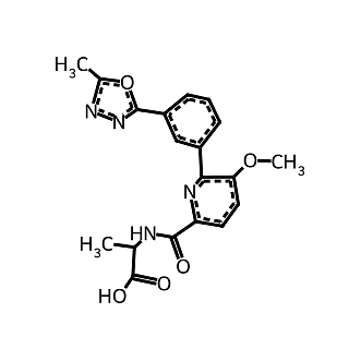 COc1ccc(C(=O)NC(C)C(=O)O)nc1-c1cccc(-c2nnc(C)o2)c1